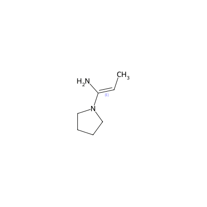 C/C=C(\N)N1CCCC1